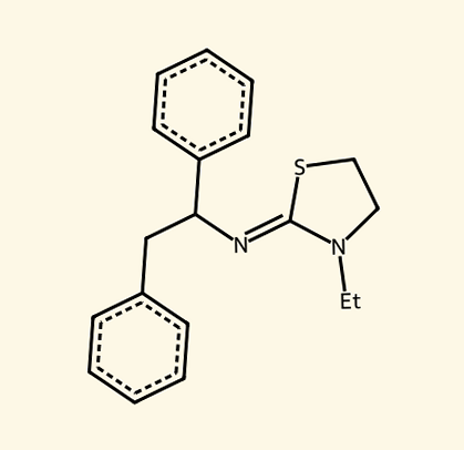 CCN1CCS/C1=N\C(Cc1ccccc1)c1ccccc1